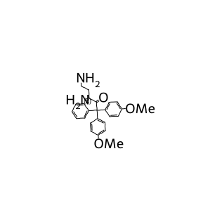 COc1ccc(C(C(=O)[C@H](N)CCN)(c2ccccc2)c2ccc(OC)cc2)cc1